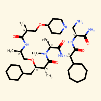 CCC[C@@H](C(=O)N[C@H](C(=O)N[C@@H](CN)C(N)=O)C1CCCCCC1)N(C)C(=O)[C@H](C)[C@@H](CC1CCCCC1)OC[C@@H](C)NC(=O)[C@@H](C)COC1CCNCC1